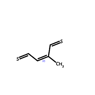 C/C(C=S)=C/C=S